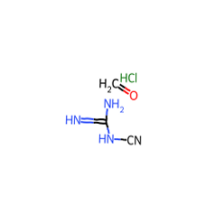 C=O.Cl.N#CNC(=N)N